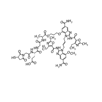 CCc1nc(C)oc1C(=O)Nc1nc2cc(C(N)=O)cc(OC)c2n1C/C=C/Cn1c(NC(=O)c2oc(C)nc2CC)nc2cc(C(N)=O)cc(OCCCOC(=O)[C@H](C)NC(=O)CNC(=O)[C@H](CCC(=O)O)NC(=O)CN3C(=O)CC(S)C3=O)c21